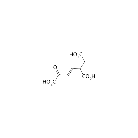 O=C(O)CC(C=CC(=O)C(=O)O)C(=O)O